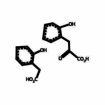 O=C(O)C(=O)Cc1ccccc1O.O=C(O)Cc1ccccc1O